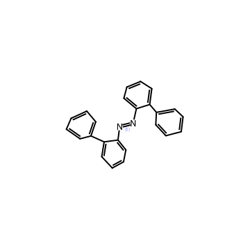 c1ccc(-c2ccccc2/N=N/c2ccccc2-c2ccccc2)cc1